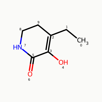 CCC1=C(O)C(=O)NCC1